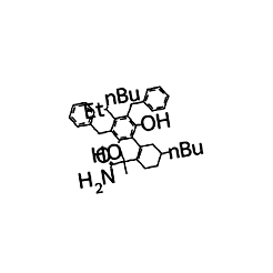 CCCCC1CCC(C(C)(C)C(N)=O)=C(c2c(O)c(Cc3ccccc3)c(C(CC)CCCC)c(Cc3ccccc3)c2O)C1